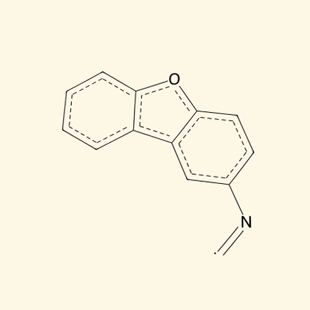 [CH]=Nc1ccc2oc3ccccc3c2c1